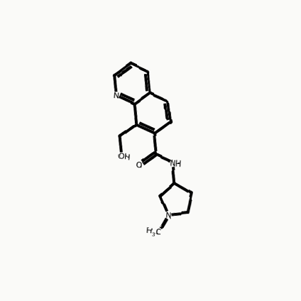 CN1CCC(NC(=O)c2ccc3cccnc3c2CO)C1